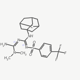 CN(C)/C(N)=N\C(=N\S(=O)(=O)c1ccc(C(F)(F)F)cc1)NC12CC3CC(CC(C3)C1)C2